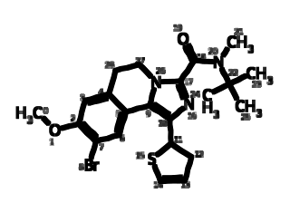 COc1cc2c(cc1Br)-c1c(C3CC=CS3)nc(C(=O)N(C)C(C)(C)C)n1CC2